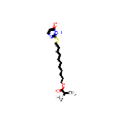 C=C(C)C(=O)OCCCCCCCCCCCSc1nccc(=O)[nH]1